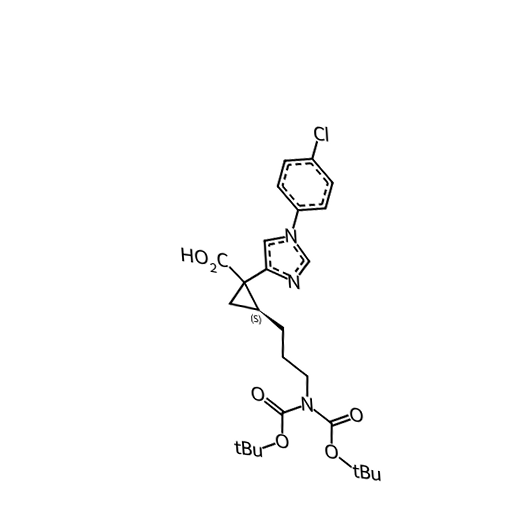 CC(C)(C)OC(=O)N(CCC[C@H]1CC1(C(=O)O)c1cn(-c2ccc(Cl)cc2)cn1)C(=O)OC(C)(C)C